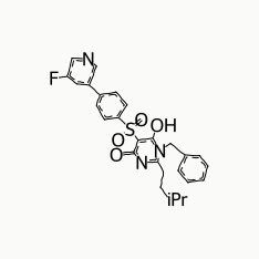 CC(C)CCc1nc(=O)c(S(=O)(=O)c2ccc(-c3cncc(F)c3)cc2)c(O)n1Cc1ccccc1